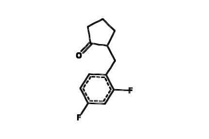 O=C1CCCC1Cc1ccc(F)cc1F